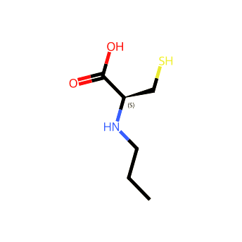 CCCN[C@H](CS)C(=O)O